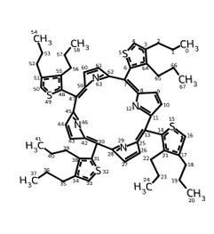 CCCc1csc(C2=C3C=CC(=N3)C(c3scc(CCC)c3CCC)=C3C=CC(=N3)C(c3scc(CCC)c3CCC)=C3C=CC(=N3)C(c3scc(CCC)c3CCC)=C3C=CC2=N3)c1CCC